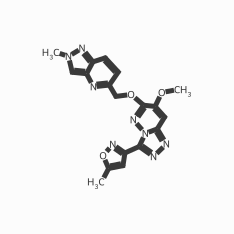 COc1cc2nnc(-c3cc(C)on3)n2nc1OCc1ccc2nn(C)cc2n1